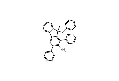 CC1(Cc2ccccc2)c2ccccc2-c2cc(-c3ccccc3)c(N)c(-c3ccccc3)c21